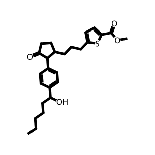 CCCCCC(O)c1ccc(C2C(=O)CCC2CCCc2ccc(C(=O)OC)s2)cc1